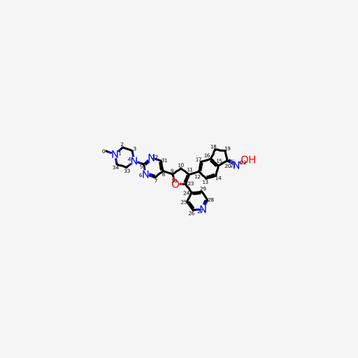 CN1CCN(c2ncc(C3CC(c4ccc5c(c4)CC/C5=N\O)=C(c4ccncc4)O3)cn2)CC1